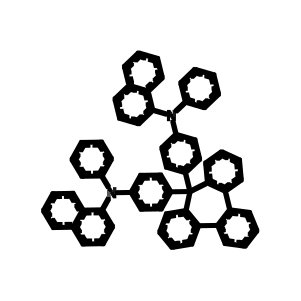 c1ccc(N(c2ccc(C3(c4ccc(N(c5ccccc5)c5cccc6ccccc56)cc4)c4ccccc4-c4ccccc4-c4ccccc43)cc2)c2cccc3ccccc23)cc1